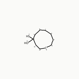 OC1(S)CCCCCCCCC1